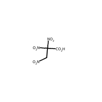 O=C(O)C(C[N+](=O)[O-])([N+](=O)[O-])[N+](=O)[O-]